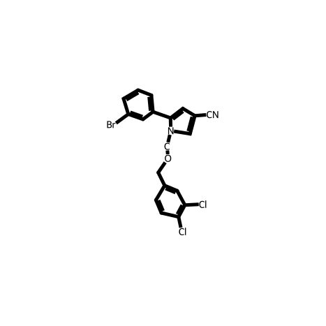 N#Cc1cc(-c2cccc(Br)c2)n(COCc2ccc(Cl)c(Cl)c2)c1